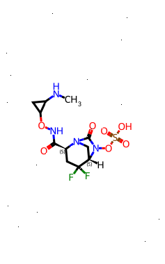 CNC1CC1ONC(=O)[C@@H]1CC(F)(F)[C@@H]2CN1C(=O)N2OS(=O)(=O)O